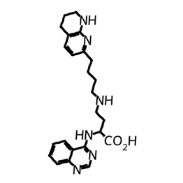 O=C(O)C(CCNCCCCc1ccc2c(n1)NCCC2)Nc1ncnc2ccccc12